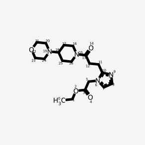 CCOC(=O)Cn1ccnc1CCC(=O)N1CCC(N2CCOCC2)CC1